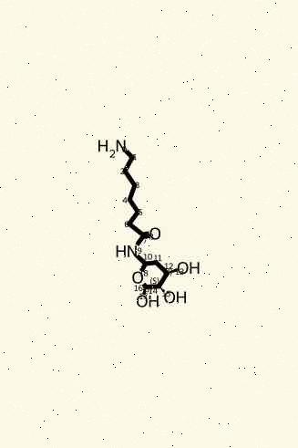 NCCCCCCC(=O)NC1C[C@@H](O)[C@H](O)[C@@H](O)O1